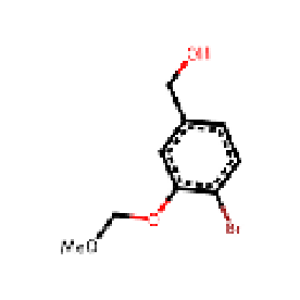 COCOc1cc(CO)ccc1Br